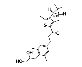 Cc1cc(CCC(=O)c2sc(C)c3c2C[C@@H]2[C@H]3C2(C)C)cc(C)c1CC(O)CO